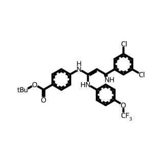 CC(C)(C)OC(=O)c1ccc(N/C(=C/C(=N)c2cc(Cl)cc(Cl)c2)Nc2ccc(OC(F)(F)F)cc2)cc1